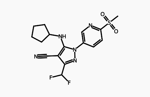 CS(=O)(=O)c1ccc(-n2nc(C(F)F)c(C#N)c2NC2CCCC2)cn1